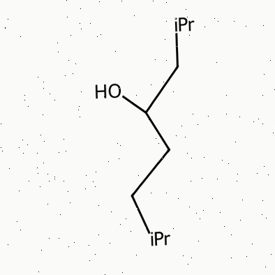 CC(C)CCC(O)CC(C)C